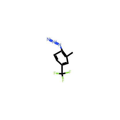 Cc1cc(C(F)(F)F)ccc1N=[N+]=[N-]